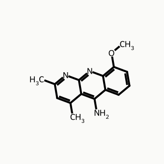 COc1cccc2c(N)c3c(C)cc(C)nc3nc12